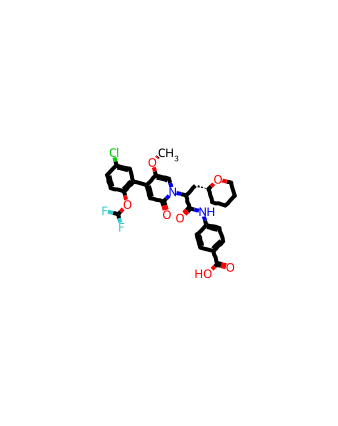 COc1cn(C(C[C@H]2CCCCO2)C(=O)Nc2ccc(C(=O)O)cc2)c(=O)cc1-c1cc(Cl)ccc1OC(F)F